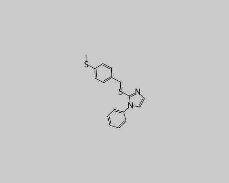 CSc1ccc(CSc2nccn2-c2ccccc2)cc1